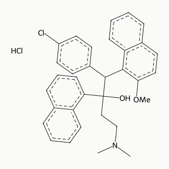 COc1ccc2ccccc2c1C(c1ccc(Cl)cc1)C(O)(CCN(C)C)c1cccc2ccccc12.Cl